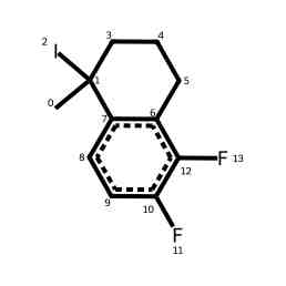 CC1(I)CCCc2c1ccc(F)c2F